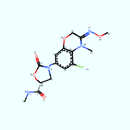 CNC(=O)[C@H]1CN(c2cc(F)c3c(c2)OCC(=NOC)N3C)C(=O)O1